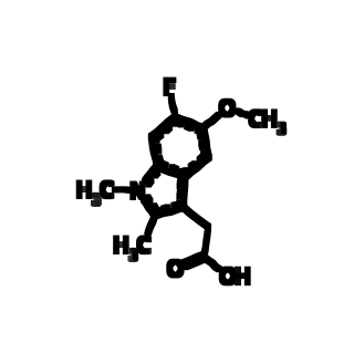 COc1cc2c(CC(=O)O)c(C)n(C)c2cc1F